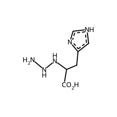 NNNC(Cc1c[nH]cn1)C(=O)O